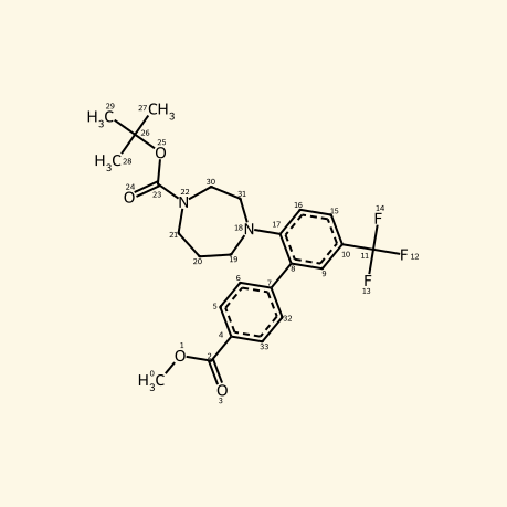 COC(=O)c1ccc(-c2cc(C(F)(F)F)ccc2N2CCCN(C(=O)OC(C)(C)C)CC2)cc1